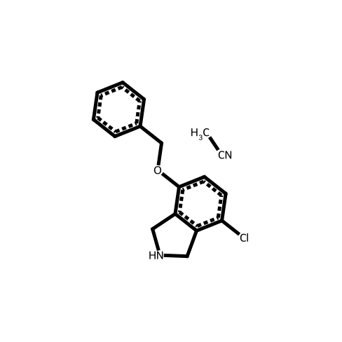 CC#N.Clc1ccc(OCc2ccccc2)c2c1CNC2